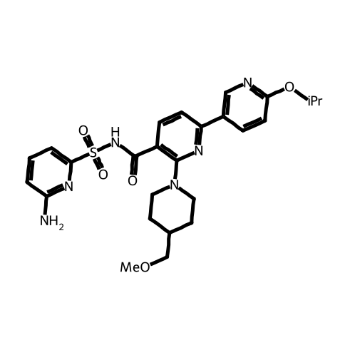 COCC1CCN(c2nc(-c3ccc(OC(C)C)nc3)ccc2C(=O)NS(=O)(=O)c2cccc(N)n2)CC1